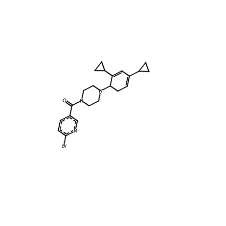 O=C(c1ccc(Br)nc1)N1CCN(C2CC=C(C3CC3)C=C2C2CC2)CC1